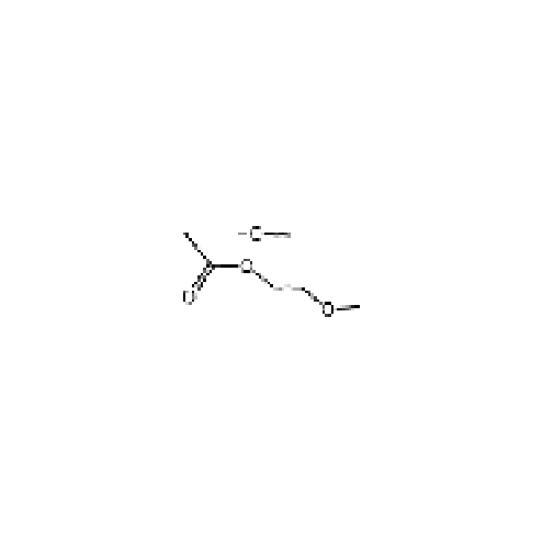 CO.COCCOC(C)=O